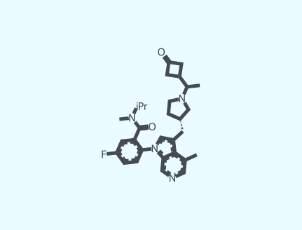 Cc1cncc2c1c(C[C@@H]1CCN(C(C)C3CC(=O)C3)C1)cn2-c1ccc(F)cc1C(=O)N(C)C(C)C